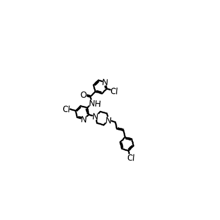 O=C(Nc1cc(Cl)cnc1N1CCN(CC=Cc2ccc(Cl)cc2)CC1)c1ccnc(Cl)c1